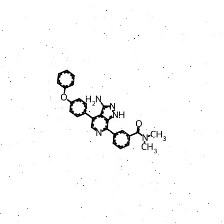 CN(C)C(=O)c1cccc(-c2ncc(-c3ccc(Oc4ccccc4)cc3)c3c(N)n[nH]c23)c1